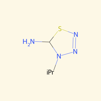 CC(C)N1N=NSC1N